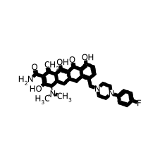 C=C1C(C(N)=O)=C(O)[C@@H](N(C)C)C2CC3Cc4c(CN5CCN(c6ccc(F)cc6)CC5)ccc(O)c4C(=O)C3=C(O)C12